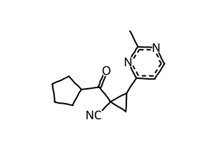 Cc1nccc(C2CC2(C#N)C(=O)C2CCCC2)n1